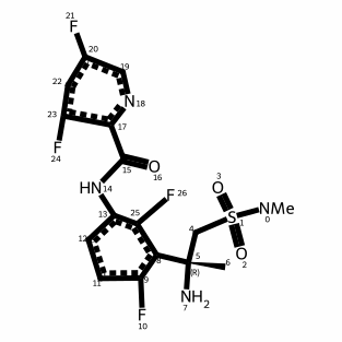 CNS(=O)(=O)C[C@](C)(N)c1c(F)ccc(NC(=O)c2ncc(F)cc2F)c1F